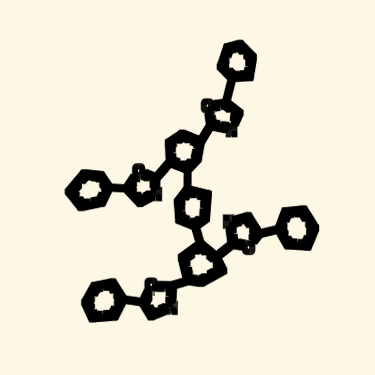 c1ccc(-c2cnc(-c3ccc(-c4ncc(-c5ccccc5)o4)c(-c4ccc(-c5cc(-c6ncc(-c7ccccc7)o6)ccc5-c5ncc(-c6ccccc6)o5)cc4)c3)o2)cc1